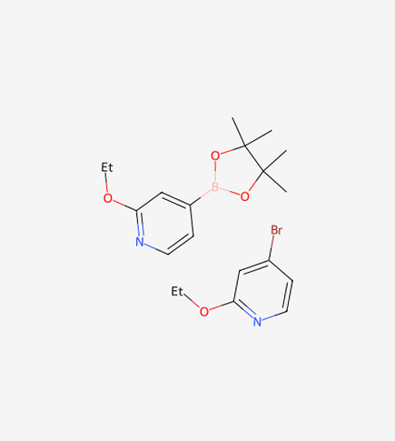 CCOc1cc(B2OC(C)(C)C(C)(C)O2)ccn1.CCOc1cc(Br)ccn1